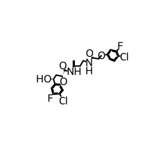 C=C(CCNC(=O)COc1ccc(Cl)c(F)c1)NC(=O)[C@H]1C[C@@H](O)c2cc(F)c(Cl)cc2O1